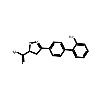 NC(=O)C1CC(c2ccc(-c3ccccc3N)cc2)=NO1